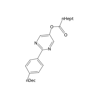 CCCCCCCCCCc1ccc(-c2ncc(OC(=O)CCCCCCC)cn2)cc1